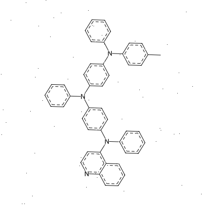 Cc1ccc(N(c2ccccc2)c2ccc(N(c3ccccc3)c3ccc(N(c4ccccc4)c4ccnc5ccccc45)cc3)cc2)cc1